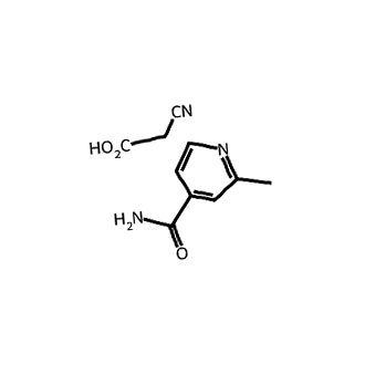 Cc1cc(C(N)=O)ccn1.N#CCC(=O)O